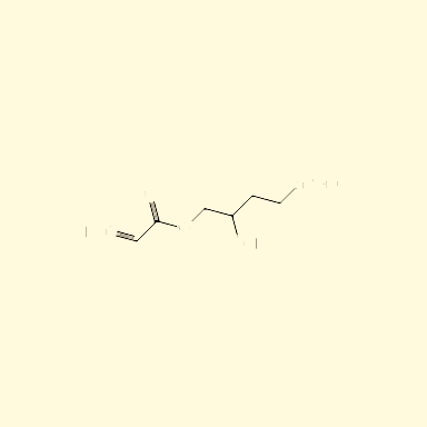 C=CC(=O)OCC(O)CCCCCCC